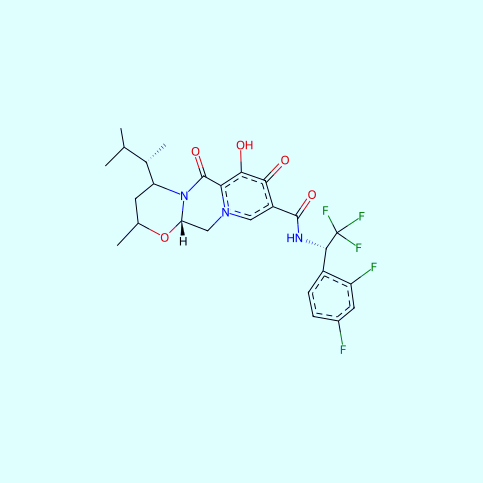 CC1CC([C@@H](C)C(C)C)N2C(=O)c3c(O)c(=O)c(C(=O)N[C@@H](c4ccc(F)cc4F)C(F)(F)F)cn3C[C@@H]2O1